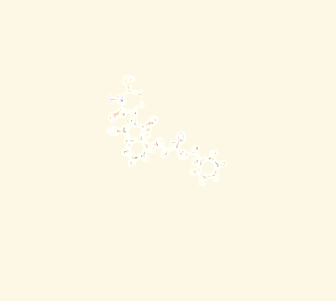 O=C1CCC(N2C(=O)c3cccc(OCC(=O)OCc4ccccc4)c3C2=O)C(=O)N1